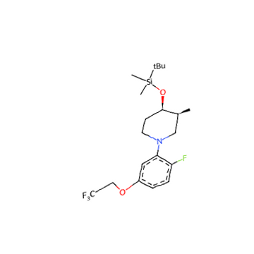 C[C@H]1CN(c2cc(OCC(F)(F)F)ccc2F)CC[C@H]1O[Si](C)(C)C(C)(C)C